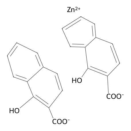 O=C([O-])c1ccc2ccccc2c1O.O=C([O-])c1ccc2ccccc2c1O.[Zn+2]